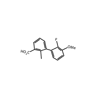 COc1cccc(-c2cccc(C(=O)O)c2C)c1F